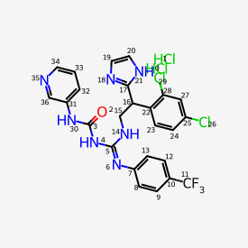 Cl.Cl.O=C(NC(=Nc1ccc(C(F)(F)F)cc1)NCC(c1ncc[nH]1)c1ccc(Cl)cc1Cl)Nc1cccnc1